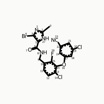 Cc1nc(Br)c(C(=O)NCc2ccc(Cl)c(Oc3cc(Cl)cc(C#N)c3)c2F)[nH]1